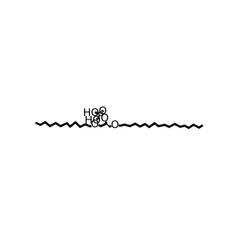 CCCCCCCCCCCCCCCCCCOC[C@@H](COCCCCCCCCCCCC)OP(=O)(O)O